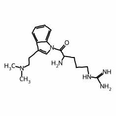 CN(C)CCc1cn(C(=O)C(N)CCCNC(=N)N)c2ccccc12